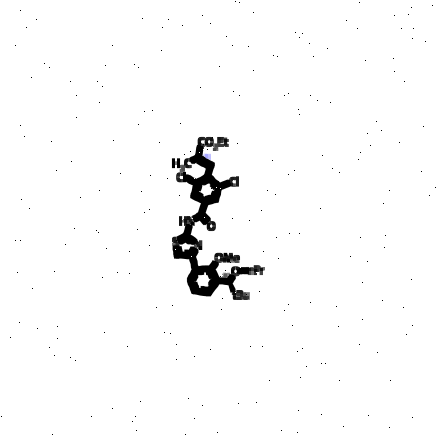 CCCO[C@H](c1cccc(-c2csc(NC(=O)c3cc(Cl)c(/C=C(\C)C(=O)OCC)c(Cl)c3)n2)c1OC)C(C)(C)C